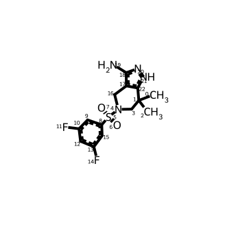 CC1(C)CN(S(=O)(=O)c2cc(F)cc(F)c2)Cc2c(N)n[nH]c21